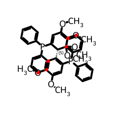 COC1=C(OC)C(OC)(OC)[C@H](c2cc(OC)c(OC)cc2P(c2ccccc2)c2ccccc2)C(P(c2ccccc2)c2ccccc2)=C1